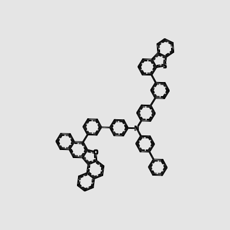 c1ccc(-c2ccc(N(c3ccc(-c4cccc(-c5c6ccccc6cc6c5oc5ccc7ccccc7c56)c4)cc3)c3ccc(-c4cccc(-c5cccc6c5sc5ccccc56)c4)cc3)cc2)cc1